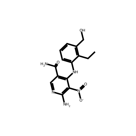 CCc1c(CO)cccc1Nc1c(C(N)=O)cnc(N)c1[N+](=O)[O-]